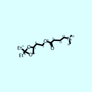 CCC1(CC)OCC(CCOC(=O)CCCN(C)C)O1